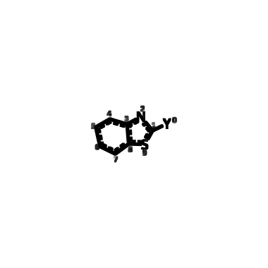 [Y][c]1nc2ccccc2s1